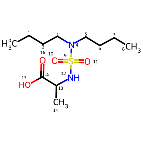 CCCCN(CCCC)S(=O)(=O)NC(C)C(=O)O